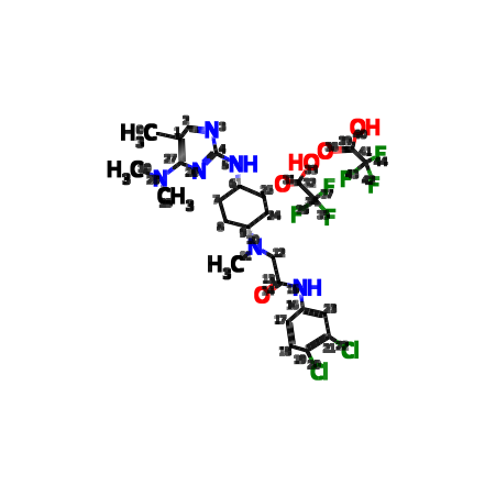 Cc1cnc(N[C@H]2CC[C@@H](N(C)CC(=O)Nc3ccc(Cl)c(Cl)c3)CC2)nc1N(C)C.O=C(O)C(F)(F)F.O=C(O)C(F)(F)F